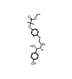 CCOC(=O)C(C)(C)Oc1ccc(CCN[C@@H](C)[C@H](O)c2ccc(O)cc2)cc1